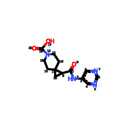 O=C(Nc1cncnc1)C1CC12CCN(C(=O)O)CC2